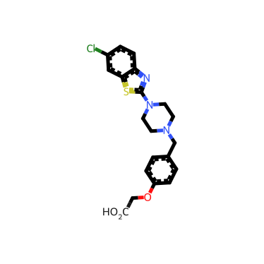 O=C(O)COc1ccc(CN2CCN(c3nc4ccc(Cl)cc4s3)CC2)cc1